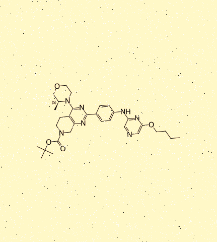 CCCCOc1cncc(Nc2ccc(-c3nc4c(c(N5CCOC[C@@H]5C)n3)CCN(C(=O)OC(C)(C)C)C4)cc2)n1